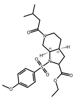 CCOC(=O)C1C[C@@H]2CCN(C(=O)CC(C)C)C[C@@H]2N1S(=O)(=O)c1ccc(OC)cc1